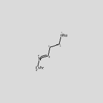 CCCCCCC=NOC(C)=O